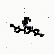 NN/N=c1\[nH]c(-c2ccc(Br)s2)ccc1-c1ccc(Br)s1